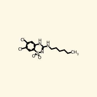 CCCCCCNC1=NS(=O)(=O)c2cc(Cl)c(Cl)cc2N1